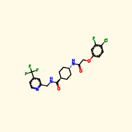 O=C(COc1ccc(Cl)c(F)c1)N[C@H]1CC[C@H](C(=O)NCc2cc(C(F)(F)F)ccn2)CC1